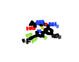 NC(=O)c1cc([N+](=O)[O-])cc(-c2ncc(C(F)(F)C(F)(F)C(F)(F)F)cc2F)c1Sc1nnnn1C1(CO)CC1